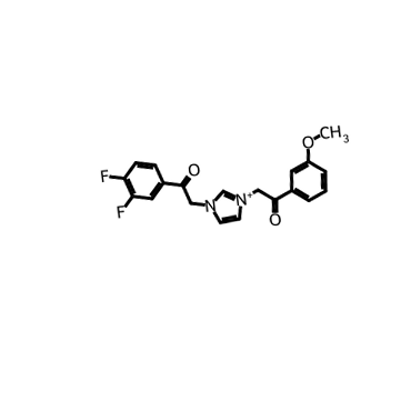 COc1cccc(C(=O)C[n+]2ccn(CC(=O)c3ccc(F)c(F)c3)c2)c1